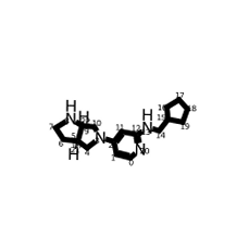 c1cc(N2C[C@H]3CCN[C@H]3C2)cc(NCC2CCCC2)n1